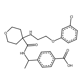 CC(NC(=O)C1(NCCOc2cccc(Cl)c2)CCOCC1)c1ccc(C(=O)O)cc1